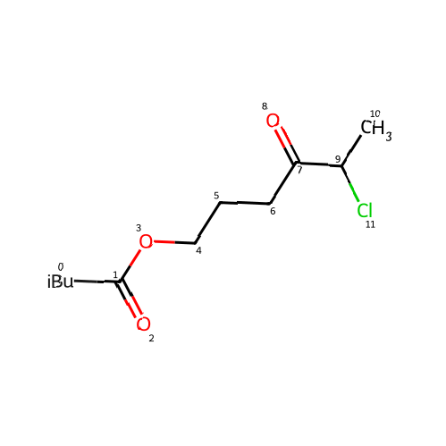 CCC(C)C(=O)OCCCC(=O)C(C)Cl